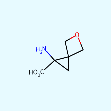 NC1(C(=O)O)CC12COC2